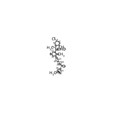 Cc1ccc(Cl)cc1C(C)N(C=O)c1cncc(N2CC3(CN(C(=O)c4cnn(C)c4)C3)C2)c1C